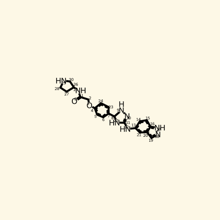 O=C(COc1ccc(C2NN=C(Nc3ccc4[nH]ncc4c3)N2)cc1)NC1CCNC1